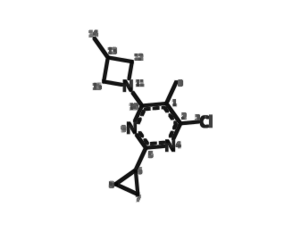 Cc1c(Cl)nc(C2CC2)nc1N1CC(C)C1